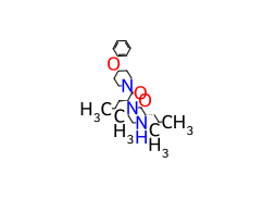 CC(C)C[C@@H]1NCCN([C@@H](CC(C)C)C(=O)N2CCC(Oc3ccccc3)CC2)C1=O